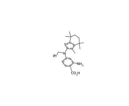 Cc1c(N(CC(C)C)c2ccc(C(=O)O)c(N)c2)sc2c1C(C)(C)CCC2(C)C